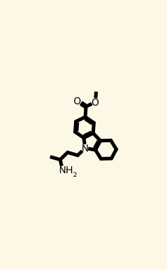 COC(=O)c1ccc2c(c1)c1c(n2CCC(C)N)CCCC1